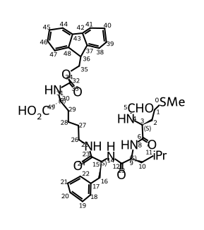 CSCC[C@H](NC=O)C(=O)N[C@@H](CC(C)C)C(=O)N[C@@H](Cc1ccccc1)C(=O)NCCCC[C@@H](NC(=O)OCC1c2ccccc2-c2ccccc21)C(=O)O